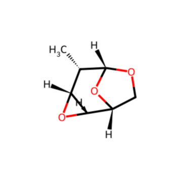 C[C@@H]1[C@@H]2OC[C@@H](O2)[C@@H]2O[C@H]12